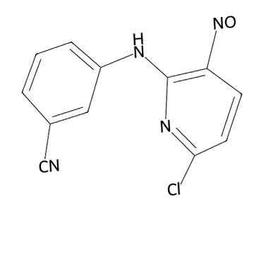 N#Cc1cccc(Nc2nc(Cl)ccc2N=O)c1